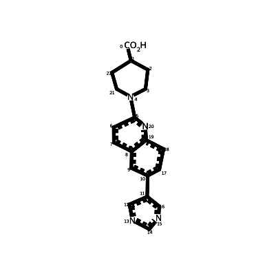 O=C(O)C1CCN(c2ccc3cc(-c4cncnc4)ccc3n2)CC1